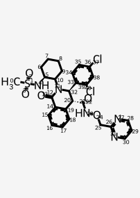 CS(=O)(=O)N[C@H]1CCCCC1N1C(=O)c2ccccc2[C@@H](C(=O)NOCc2ncccn2)[C@@H]1c1ccc(Cl)cc1Cl